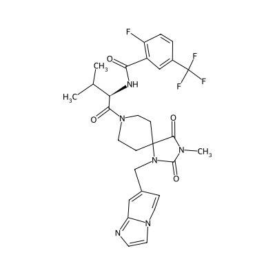 CC(C)[C@@H](NC(=O)c1cc(C(F)(F)F)ccc1F)C(=O)N1CCC2(CC1)C(=O)N(C)C(=O)N2Cc1ccn2ccnc2c1